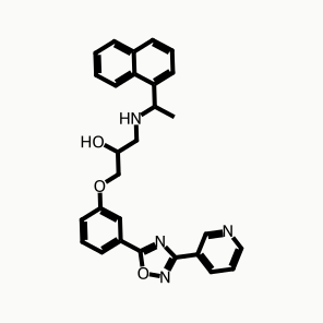 CC(NCC(O)COc1cccc(-c2nc(-c3cccnc3)no2)c1)c1cccc2ccccc12